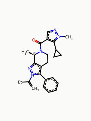 C=C(CC)n1nc2c(c1-c1ccccc1)CCN(C(=O)c1cnn(C)c1C1CC1)[C@@H]2C